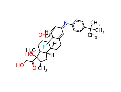 C[C@@H]1C[C@H]2[C@@H]3CCC4=C/C(=N\c5ccc(C(C)(C)C)cc5)C=C[C@]4(C)[C@@]3(F)[C@@H](O)C[C@]2(C)[C@@]1(O)C(=O)CO